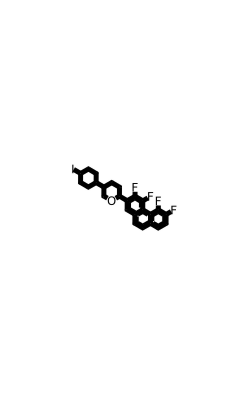 Fc1ccc2ccc3cc(C4CCC(C5CCC(I)CC5)CO4)c(F)c(F)c3c2c1F